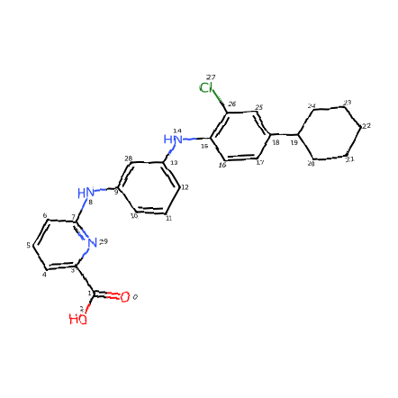 O=C(O)c1cccc(Nc2cccc(Nc3ccc(C4CCCCC4)cc3Cl)c2)n1